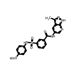 COc1ccc(NS(=O)(=O)c2cccc(C(=O)Nc3cnc4[nH]nc(C)c4c3)c2)cc1